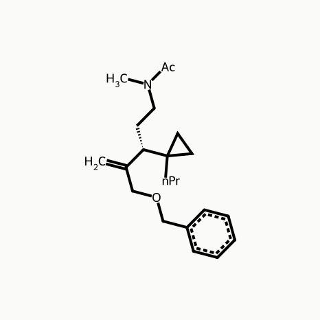 C=C(COCc1ccccc1)[C@H](CCN(C)C(C)=O)C1(CCC)CC1